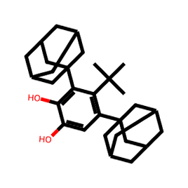 CC(C)(C)c1c(C23CC4CC(CC(C4)C2)C3)cc(O)c(O)c1C12CC3CC(CC(C3)C1)C2